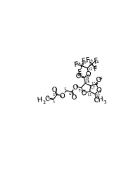 C=CC(=O)OCC(=O)OC1OC2C(C)OC(=O)C2C1C(=O)OC(C(F)(F)F)C(F)(F)F